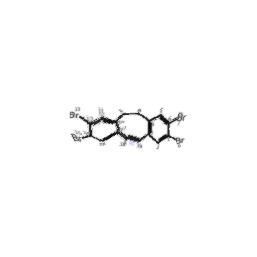 Brc1cc2c(cc1Br)CCC1=CC(Br)C(Br)C=C1/C=C\2